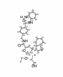 CCO[C@@H]1OC(C(=O)NCc2ccc(C(=O)Nc3ccccc3N)cc2)=C[C@H](c2coc3ccccc23)[C@@H]1CCCO